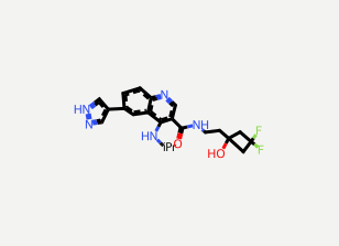 CC(C)Nc1c(C(=O)NCCC2(O)CC(F)(F)C2)cnc2ccc(-c3cn[nH]c3)cc12